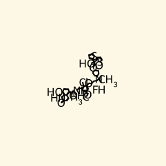 COc1cc(CNC[C@H](O)c2ccc(O)c3[nH]c(=O)ccc23)c(Cl)c(OCCCN(C)[C@H]2CC[C@H](OC(=O)C(O)(c3cccs3)c3cccs3)CC2)c1.F